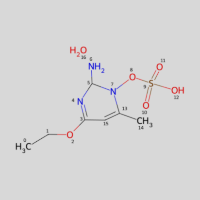 CCOC1=NC(N)N(OS(=O)(=O)O)C(C)=C1.O